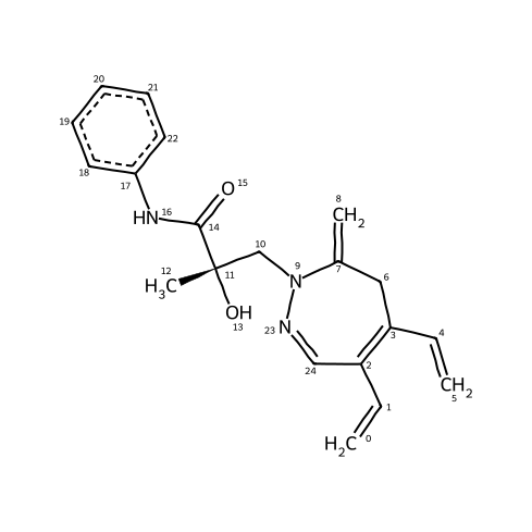 C=CC1=C(C=C)CC(=C)N(C[C@](C)(O)C(=O)Nc2ccccc2)N=C1